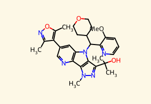 COc1cccnc1C(C1CCOCC1)n1c2cc(-c3c(C)noc3C)cnc2c2c1c(C(C)(C)O)nn2C